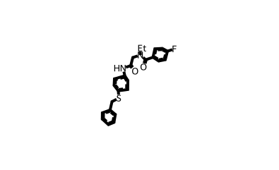 CCN(CC(=O)Nc1ccc(SCc2ccccc2)cc1)C(=O)c1ccc(F)cc1